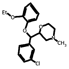 CCOc1ccccc1OC(c1cccc(Cl)c1)C1CN(C)CCO1